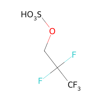 O=S(=O)(O)OCC(F)(F)C(F)(F)F